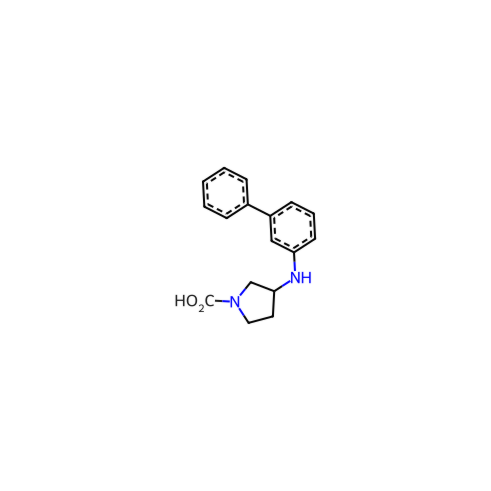 O=C(O)N1CCC(Nc2cccc(-c3ccccc3)c2)C1